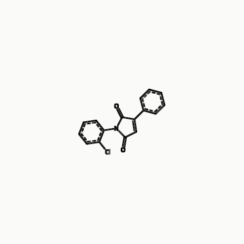 O=C1C=C(c2ccccc2)C(=O)N1c1ccccc1Cl